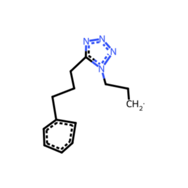 [CH2]CCn1nnnc1CCCc1ccccc1